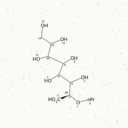 CCCO[C@@H](C(=O)O)C(O)C(O)C(O)C(O)C(O)CO